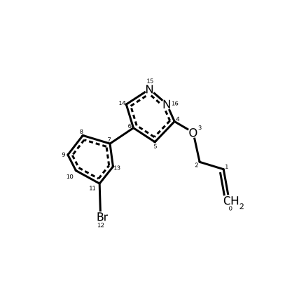 C=CCOc1cc(-c2cccc(Br)c2)cnn1